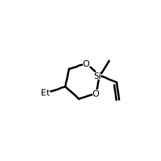 C=C[Si]1(C)OCC(CC)CO1